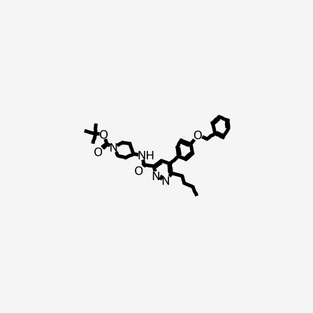 CCCCc1nnc(C(=O)NC2CCN(C(=O)OC(C)(C)C)CC2)cc1-c1ccc(OCc2ccccc2)cc1